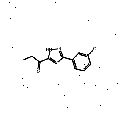 CCC(=O)c1cc(-c2cccc(Cl)c2)n[nH]1